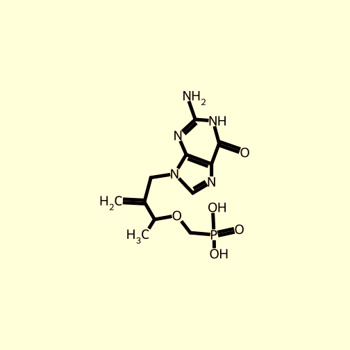 C=C(Cn1cnc2c(=O)[nH]c(N)nc21)C(C)OCP(=O)(O)O